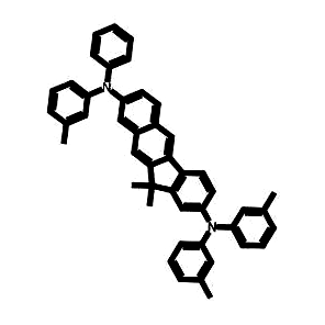 Cc1cccc(N(c2cccc(C)c2)c2ccc3c(c2)C(C)(C)c2cc4cc(N(c5ccccc5)c5cccc(C)c5)ccc4cc2-3)c1